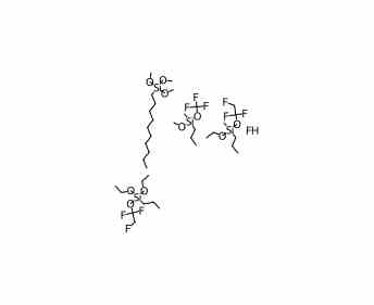 CCCCCCCCCC[Si](OC)(OC)OC.CCC[Si](C)(OC)OC(F)(F)F.CCC[Si](C)(OCC)OC(F)(F)CF.CCC[Si](OCC)(OCC)OC(F)(F)CF.F